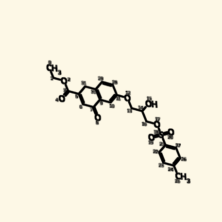 CCOC(=O)C1=CC(=O)c2cc(OCC(O)COS(=O)(=O)c3ccc(C)cc3)ccc2C1